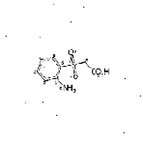 Nc1ccccc1S(=O)(=O)CC(=O)O